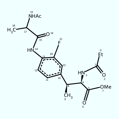 CCC(=O)N[C@@H](C(=O)OC)[C@@H](C)c1ccc(NC(=O)C(C)NC(C)=O)c(F)c1